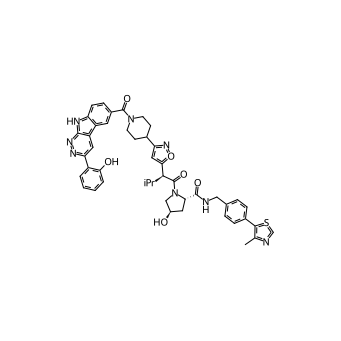 Cc1ncsc1-c1ccc(CNC(=O)[C@@H]2C[C@@H](O)CN2C(=O)[C@H](c2cc(C3CCN(C(=O)c4ccc5[nH]c6nnc(-c7ccccc7O)cc6c5c4)CC3)no2)C(C)C)cc1